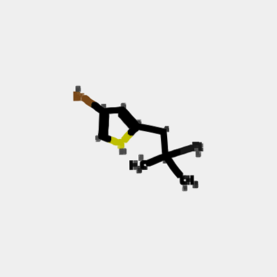 CCC(C)(C)Cc1cc(Br)cs1